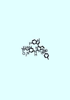 CCNC1(CCN(C)C)C=CC(Nc2nc(-c3cn(C)c4ccc(F)cc34)c3ccn(S(=O)(=O)c4ccc(C)cc4)c3n2)=CC1[N+](=O)[O-]